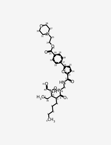 CCCCCC(C(=O)NCNC(=O)c1ccc(-c2ccc(C(=O)OCCN3CCOCC3)cc2)o1)[C@@H](CC)N(O)C=O